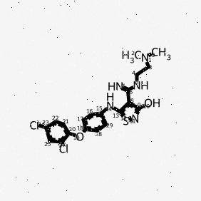 CN(C)CCNC(=N)c1c(O)nsc1Nc1ccc(Oc2ccc(Cl)cc2Cl)cc1